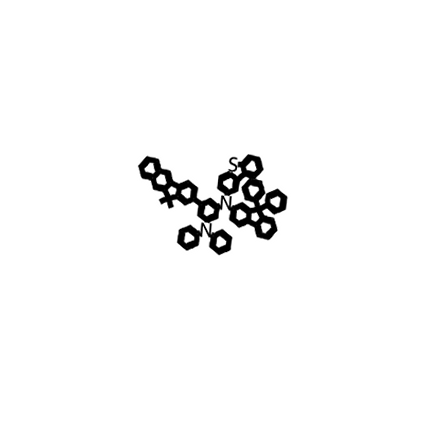 CC1(C)c2cc(-c3cc(N(c4ccccc4)c4ccccc4)cc(N(c4ccc5c(c4)C(c4ccccc4)(c4ccccc4)c4ccccc4-5)c4ccc5sc6ccccc6c5c4)c3)ccc2-c2cc3ccccc3cc21